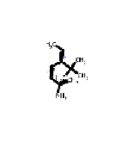 C=C(N)/C=C\C(=C/C)C(C)(C)C